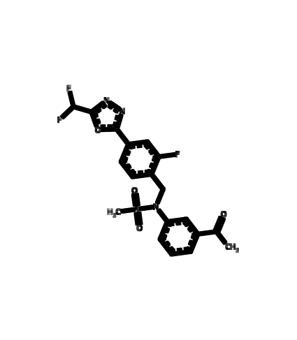 CC(=O)c1cccc(N(Cc2ccc(-c3nnc(C(F)F)o3)cc2F)S(C)(=O)=O)c1